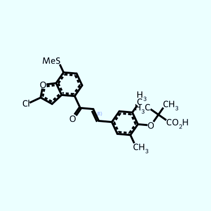 CSc1ccc(C(=O)/C=C/c2cc(C)c(OC(C)(C)C(=O)O)c(C)c2)c2cc(Cl)oc12